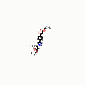 CCOC(=O)CC(=O)C1CCC(c2cnn(C(C)CC(=O)OC)c2)CC1